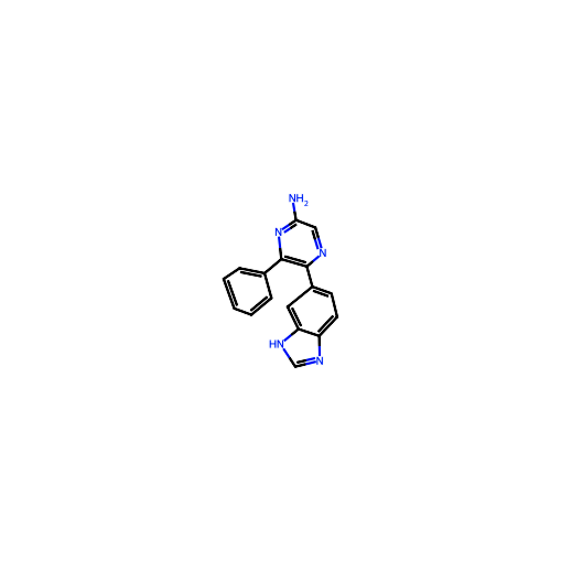 Nc1cnc(-c2ccc3nc[nH]c3c2)c(-c2ccccc2)n1